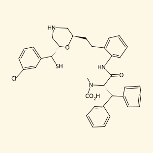 CN(C(=O)O)[C@H](C(=O)Nc1ccccc1CC[C@@H]1CNC[C@@H](C(S)c2cccc(Cl)c2)O1)C(c1ccccc1)c1ccccc1